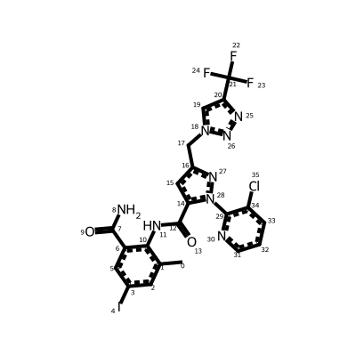 Cc1cc(I)cc(C(N)=O)c1NC(=O)c1cc(Cn2cc(C(F)(F)F)nn2)nn1-c1ncccc1Cl